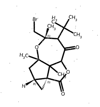 CC(C)(C)C1C(=O)C2OC(=O)[C@@]34C[C@@H]3CC(C)(O[C@]1(C)CBr)C24C